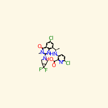 C[C@@H](Nc1ccc(Cl)nc1C(=O)O)c1cc(Cl)cc2c(=O)n(C)c(N3CC4C(C3)C4(F)F)nc12